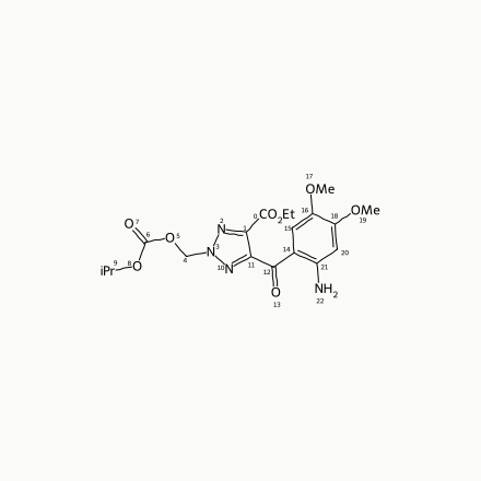 CCOC(=O)c1nn(COC(=O)OC(C)C)nc1C(=O)c1cc(OC)c(OC)cc1N